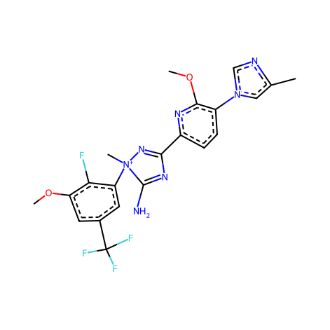 COc1cc(C(F)(F)F)cc([N+]2(C)N=C(c3ccc(-n4cnc(C)c4)c(OC)n3)N=C2N)c1F